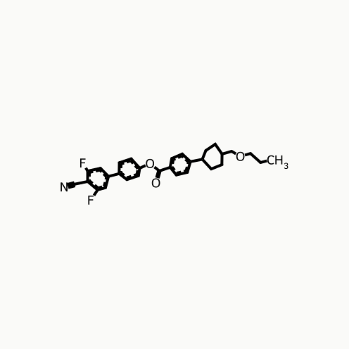 CCCOCC1CCC(c2ccc(C(=O)Oc3ccc(-c4cc(F)c(C#N)c(F)c4)cc3)cc2)CC1